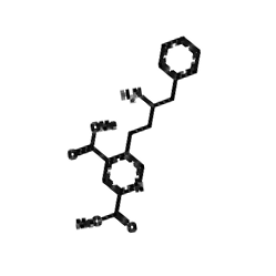 COC(=O)c1cc(C(=O)OC)c(CCC(N)Cc2ccccc2)cn1